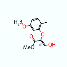 BOc1ccc(C)c(O/C(=C\O)C(=O)OC)c1